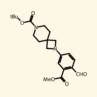 COC(=O)c1cc(N2CC3(CCN(C(=O)OC(C)(C)C)CC3)C2)ccc1C=O